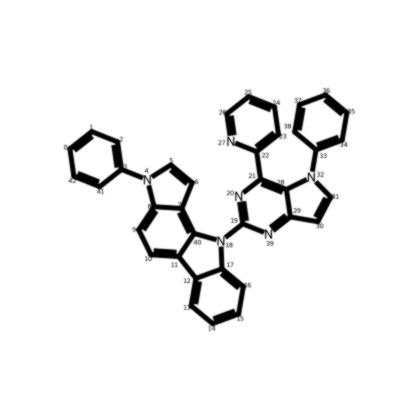 c1ccc(-n2ccc3c2ccc2c4ccccc4n(-c4nc(-c5ccccn5)c5c(ccn5-c5ccccc5)n4)c23)cc1